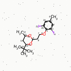 Cc1cc(I)c(OCCC2OC(C)CC(C(C)(C)C)O2)c(I)c1